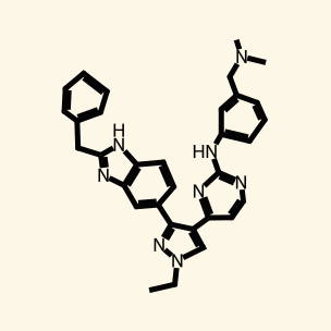 CCn1cc(-c2ccnc(Nc3cccc(CN(C)C)c3)n2)c(-c2ccc3[nH]c(Cc4ccccc4)nc3c2)n1